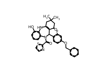 CC1(C)CC(=O)C2=C(C1)Nc1c(O)cccc1N(C(=O)c1nccs1)C2c1ccc(OCc2ccccc2)cc1F